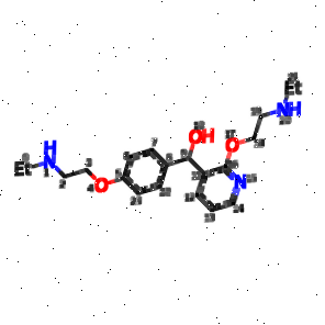 CCNCCOc1ccc(C(O)c2cccnc2OCCNCC)cc1